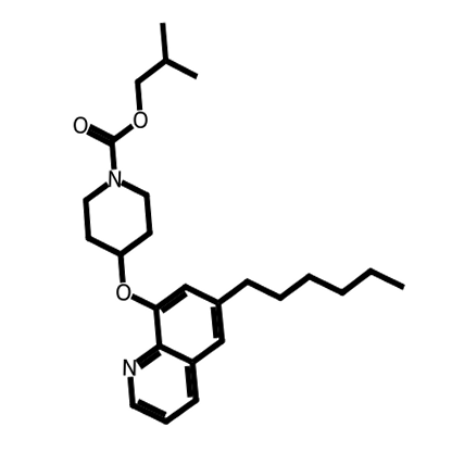 CCCCCCc1cc(OC2CCN(C(=O)OCC(C)C)CC2)c2ncccc2c1